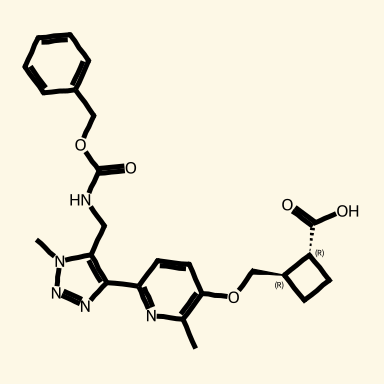 Cc1nc(-c2nnn(C)c2CNC(=O)OCc2ccccc2)ccc1OC[C@@H]1CC[C@H]1C(=O)O